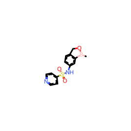 CB1OCc2ccc(NS(=O)(=O)c3ccncc3)cc21